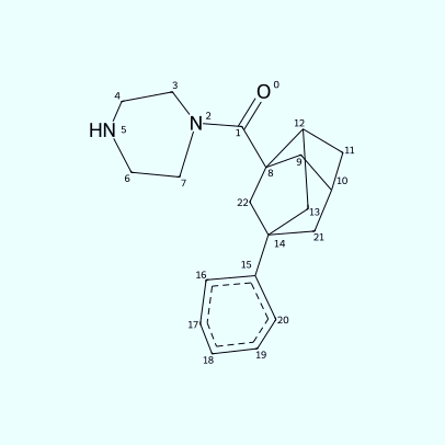 O=C(N1CCNCC1)C12CC3CC1CC(c1ccccc1)(C3)C2